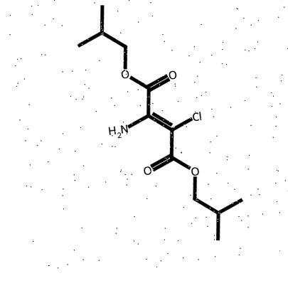 CC(C)COC(=O)C(N)=C(Cl)C(=O)OCC(C)C